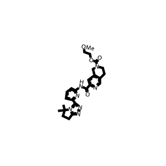 COCCOC(=O)N1CCc2cnc(C(=O)Nc3cccc(-c4nnc5n4C(C)(C)CC5)n3)cc2C1